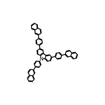 c1ccc2cc(-c3ccc(-c4ccc5c(c4)c4cc(-c6ccc(-c7ccc8ccccc8c7)cc6)ccc4n5-c4ccc(-c5ccc6ccccc6c5)cc4)cc3)ccc2c1